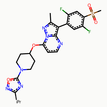 Cc1nn2c(OC3CCN(c4nc(C(C)C)no4)CC3)ccnc2c1-c1cc(F)c(S(C)(=O)=O)cc1F